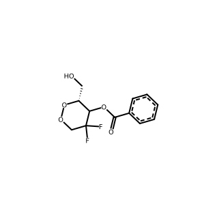 O=C(OC1[C@@H](CO)OOCC1(F)F)c1ccccc1